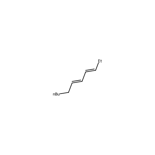 [CH2]CC=CC=CCCCCC